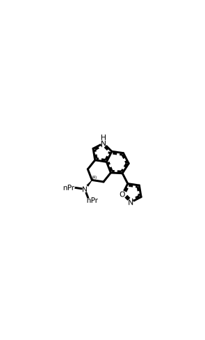 CCCN(CCC)[C@H]1Cc2c[nH]c3ccc(-c4ccno4)c(c23)C1